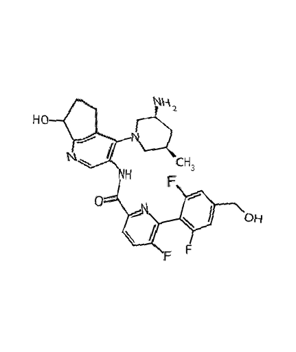 C[C@@H]1C[C@H](N)CN(c2c(NC(=O)c3ccc(F)c(-c4c(F)cc(CO)cc4F)n3)cnc3c2CCC3O)C1